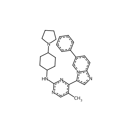 Cc1cnc(NC2CCC(N3CCCC3)CC2)nc1-c1cnc2ccc(-c3ccccc3)cn12